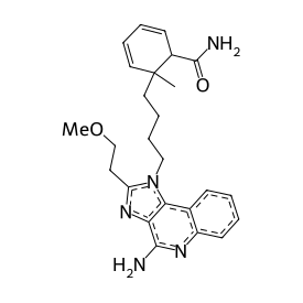 COCCc1nc2c(N)nc3ccccc3c2n1CCCCC1(C)C=CC=CC1C(N)=O